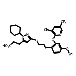 CC(C)Oc1ccc(CCCOc2cc(CCC(=O)O)n(C3CCCCC3)n2)c(Oc2ncc(C(F)(F)F)cc2Cl)c1